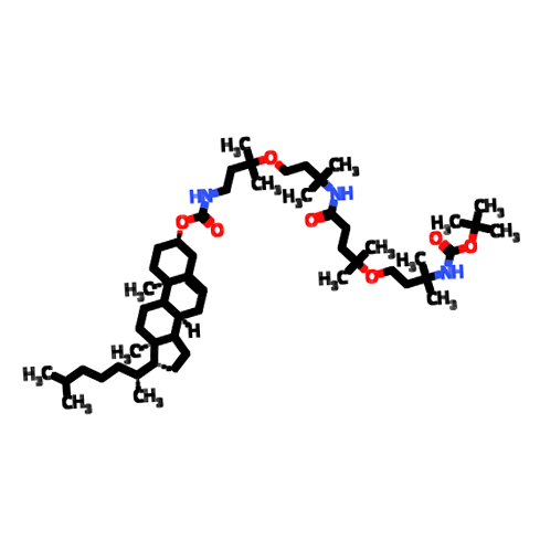 CC(C)CCC[C@@H](C)[C@H]1CCC2[C@@H]3CC=C4C[C@@H](OC(=O)NCCC(C)(C)OCCC(C)(C)NC(=O)CCC(C)(C)OCCC(C)(C)NC(=O)OC(C)(C)C)CC[C@]4(C)C3CC[C@@]21C